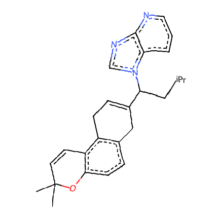 CC(C)CC(C1=CCc2c(ccc3c2C=CC(C)(C)O3)C1)n1cnc2ncccc21